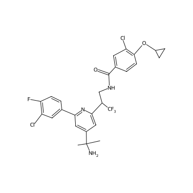 CC(C)(N)c1cc(-c2ccc(F)c(Cl)c2)nc(C(CNC(=O)c2ccc(OC3CC3)c(Cl)c2)C(F)(F)F)c1